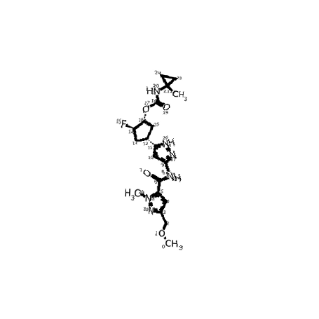 COCc1cc(C(=O)Nc2cc([C@@H]3C[C@@H](F)[C@H](OC(=O)NC4(C)CC4)C3)[nH]n2)n(C)n1